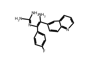 NC(N)=N/C(=C(\N)c1ccc2ncccc2c1)c1ccc(F)cc1